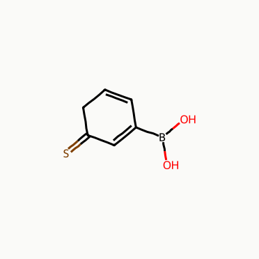 OB(O)C1=CC(=S)CC=C1